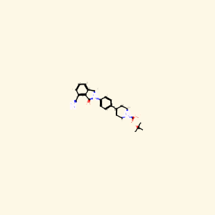 CC(C)(C)OC(=O)N1CCC(c2ccc(N3Cc4cccc(C#N)c4C3=O)cc2)CC1